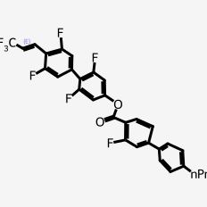 CCCc1ccc(-c2ccc(C(=O)Oc3cc(F)c(-c4cc(F)c(/C=C/C(F)(F)F)c(F)c4)c(F)c3)c(F)c2)cc1